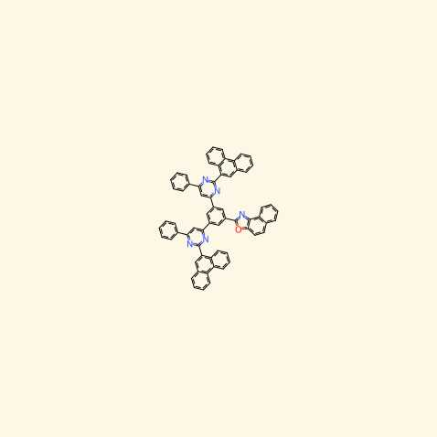 c1ccc(-c2cc(-c3cc(-c4cc(-c5ccccc5)nc(-c5cc6ccccc6c6ccccc56)n4)cc(-c4nc5c(ccc6ccccc65)o4)c3)nc(-c3cc4ccccc4c4ccccc34)n2)cc1